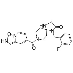 O=C(C1=CC2=CNON2C=C1)N1CCC2(CC1)NCC(=O)N2Cc1ccccc1F